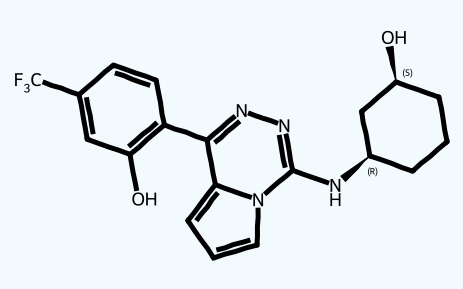 Oc1cc(C(F)(F)F)ccc1-c1nnc(N[C@@H]2CCC[C@H](O)C2)n2cccc12